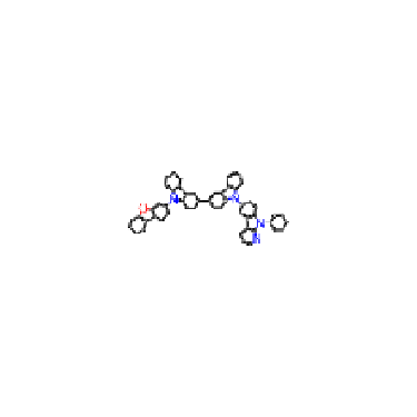 c1ccc(-n2c3ccc(-n4c5ccccc5c5cc(-c6ccc7c(c6)c6ccccc6n7-c6ccc7c(c6)oc6ccccc67)ccc54)cc3c3cccnc32)cc1